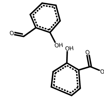 O=C(O)c1ccccc1O.O=Cc1ccccc1O